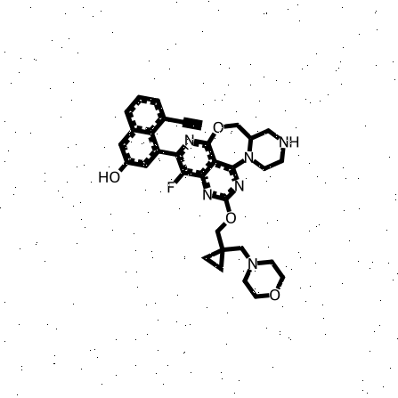 C#Cc1cccc2cc(O)cc(-c3nc4c5c(nc(OCC6(CN7CCOCC7)CC6)nc5c3F)N3CCNCC3CO4)c12